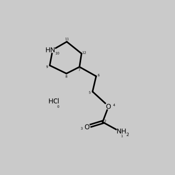 Cl.NC(=O)OCCC1CCNCC1